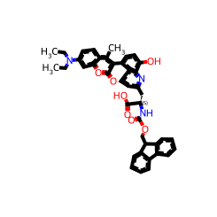 CCN(CC)c1ccc2c(C)c(-c3ccc(O)c4nc(C[C@H](NC(=O)OCC5c6ccccc6-c6ccccc65)C(=O)O)ccc34)c(=O)oc2c1